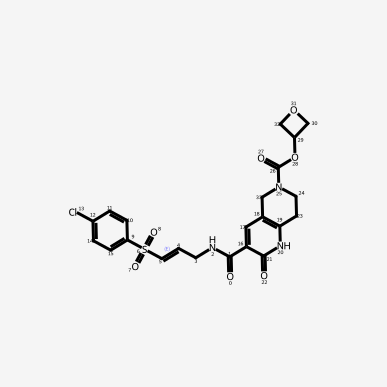 O=C(NC/C=C/S(=O)(=O)c1ccc(Cl)cc1)c1cc2c([nH]c1=O)CCN(C(=O)OC1COC1)C2